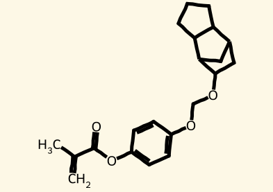 C=C(C)C(=O)Oc1ccc(OCOC2CC3CC2C2CCCC32)cc1